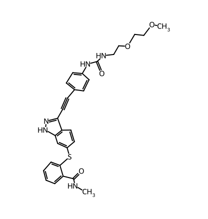 CNC(=O)c1ccccc1Sc1ccc2c(C#Cc3ccc(NC(=O)NCCOCCOC)cc3)n[nH]c2c1